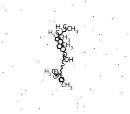 COC(=O)N(CCCCSCC(O)COC1CCC2(C)C(=CCC3C2CCC2(C)C(C(C)CCCC(C)C)CCC32)C1)c1ccc(C)cc1